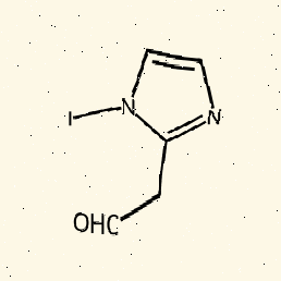 O=CCc1nccn1I